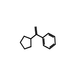 C=C(c1ccccc1)C1CCCC1